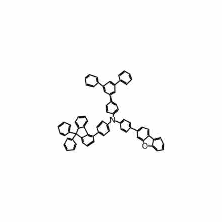 c1ccc(-c2cc(-c3ccccc3)cc(-c3ccc(N(c4ccc(-c5ccc6c(c5)oc5ccccc56)cc4)c4ccc(-c5cccc6c5-c5ccccc5C6(c5ccccc5)c5ccccc5)cc4)cc3)c2)cc1